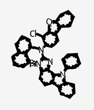 Clc1c(N(c2nc3c(ccc4c5ccccc5n(-c5ccccc5)c43)[nH]2)c2cccc3cccc(Br)c23)ccc2c1oc1ccccc12